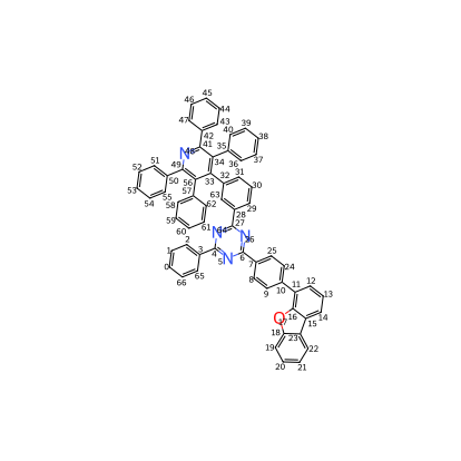 c1ccc(-c2nc(-c3ccc(-c4cccc5c4oc4ccccc45)cc3)nc(-c3cccc(-c4c(-c5ccccc5)c(-c5ccccc5)nc(-c5ccccc5)c4-c4ccccc4)c3)n2)cc1